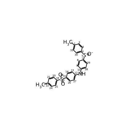 Cc1ccc([S+]([O-])c2ccc(Nc3ccc(S(=O)(=O)c4ccc(C)cc4)cc3)cc2)cc1